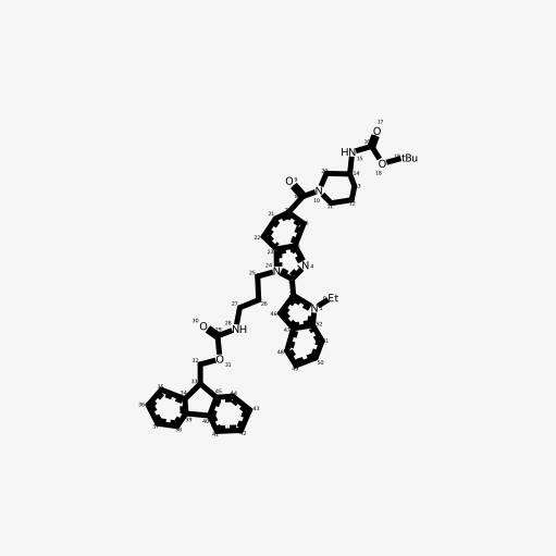 CCn1c(-c2nc3cc(C(=O)N4CCCC(NC(=O)OC(C)(C)C)C4)ccc3n2CCCNC(=O)OCC2c3ccccc3-c3ccccc32)cc2ccccc21